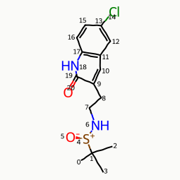 CC(C)(C)[S@@+]([O-])NCCc1cc2cc(Cl)ccc2[nH]c1=O